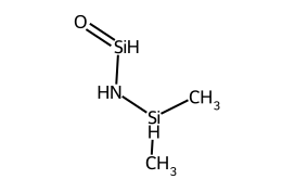 C[SiH](C)N[SiH]=O